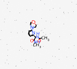 CNC(=O)C(NC(C)=O)c1cccc(N2CCOCC2)n1